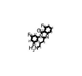 NCCCc1nc2cccc(F)c2c(=O)n1-c1cc(F)cc(F)c1